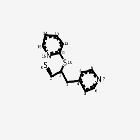 S=[C]C(Cc1ccncc1)Sc1ccccn1